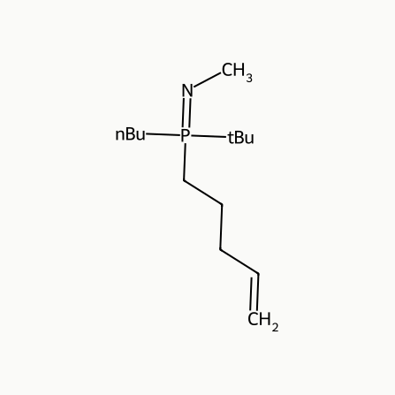 C=CCCCP(CCCC)(=NC)C(C)(C)C